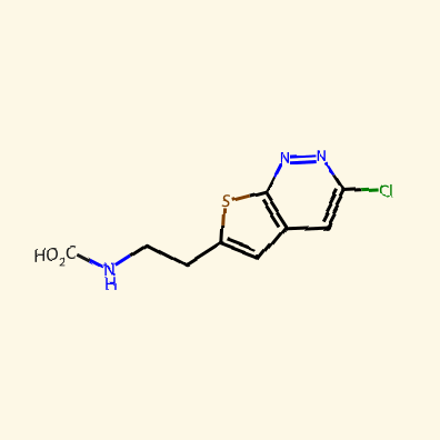 O=C(O)NCCc1cc2cc(Cl)nnc2s1